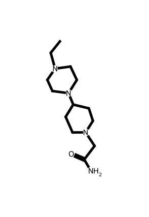 CCN1CCN(C2CCN(CC(N)=O)CC2)CC1